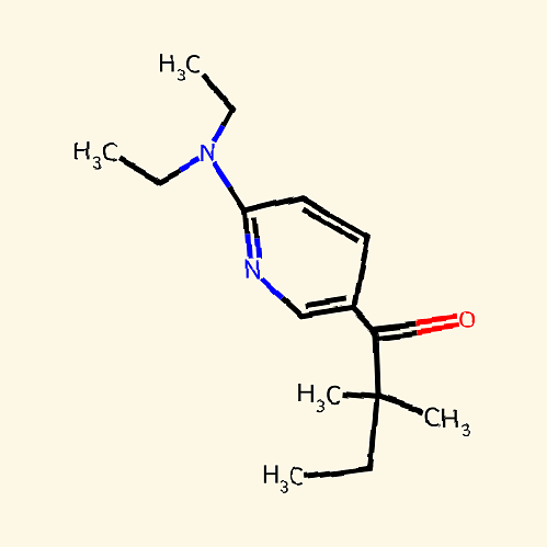 CCN(CC)c1ccc(C(=O)C(C)(C)CC)cn1